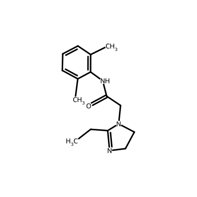 CCC1=NCCN1CC(=O)Nc1c(C)cccc1C